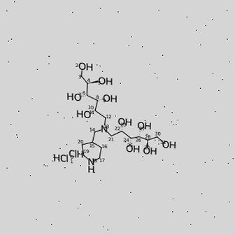 Cl.Cl.OC[C@@H](O)[C@@H](O)[C@H](O)[C@@H](O)CN(CC1CCNCC1)C[C@H](O)[C@@H](O)[C@H](O)[C@H](O)CO